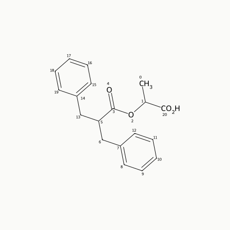 CC(OC(=O)C(Cc1ccccc1)Cc1ccccc1)C(=O)O